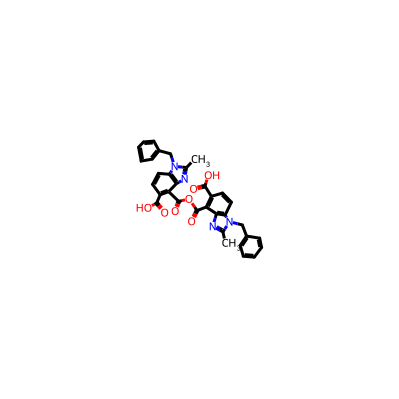 Cc1nc2c(C(=O)OC(=O)c3c(C(=O)O)ccc4c3nc(C)n4Cc3ccccc3)c(C(=O)O)ccc2n1Cc1ccccc1